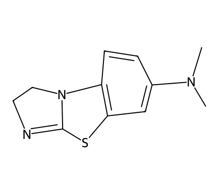 CN(C)c1ccc2c(c1)SC1=NCCN12